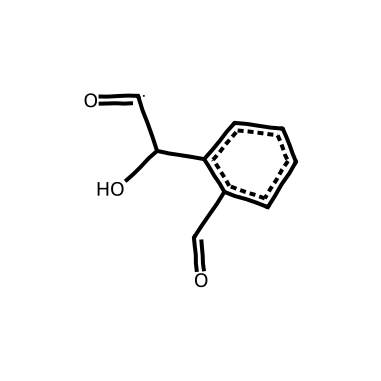 O=[C]C(O)c1ccccc1C=O